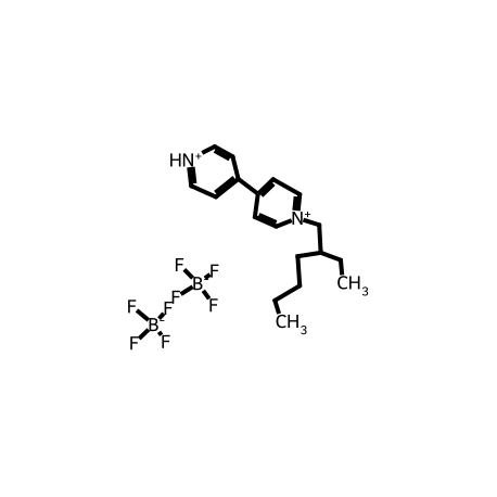 CCCCC(CC)C[n+]1ccc(-c2cc[nH+]cc2)cc1.F[B-](F)(F)F.F[B-](F)(F)F